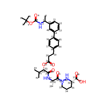 CC(NC(=O)OC(C)(C)C)c1cccc(-c2ccc(CCC(=O)O[C@H](C(=O)N[C@@H](C)C(=O)N3CCC[C@@H](C(=O)O)N3)C(C)C)cc2)c1